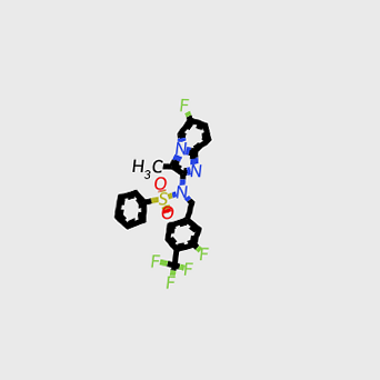 Cc1c(N(Cc2ccc(C(F)(F)F)c(F)c2)S(=O)(=O)c2ccccc2)nc2ccc(F)cn12